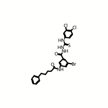 O=C(CCCCc1ccccc1)Nc1cc(Br)cc(C(=O)NNC(=S)Nc2ccc(Cl)c(Cl)c2)c1